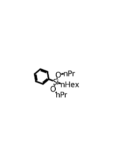 CCCCCC[Si](OCCC)(OCCC)c1ccccc1